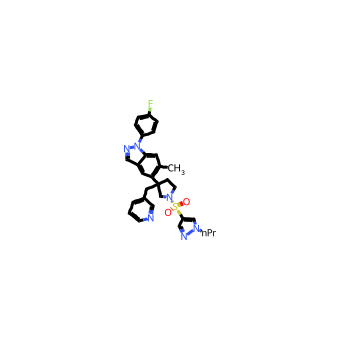 CCCn1cc(S(=O)(=O)N2CCC(Cc3cccnc3)(c3cc4cnn(-c5ccc(F)cc5)c4cc3C)C2)cn1